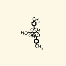 Cc1ccc(C2OC[C@@H]3OC(c4ccc(C)cc4)O[C@H]([C@H](O)CO)[C@@H]3O2)cc1